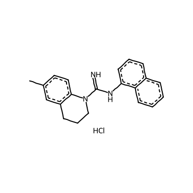 Cc1ccc2c(c1)CCCN2C(=N)Nc1cccc2ccccc12.Cl